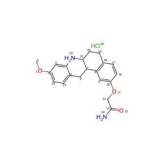 COc1ccc(CC2c3cc(OCC(N)=O)ccc3CCC2N)cc1.Cl